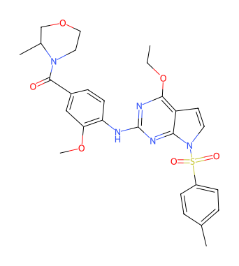 CCOc1nc(Nc2ccc(C(=O)N3CCOCC3C)cc2OC)nc2c1ccn2S(=O)(=O)c1ccc(C)cc1